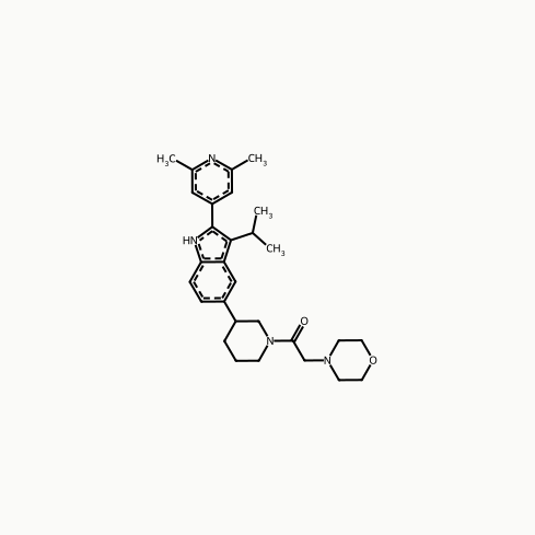 Cc1cc(-c2[nH]c3ccc(C4CCCN(C(=O)CN5CCOCC5)C4)cc3c2C(C)C)cc(C)n1